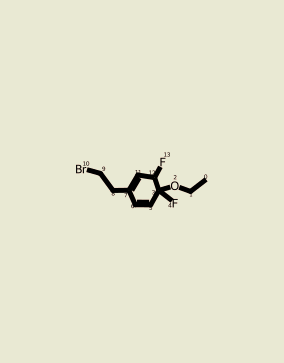 CCOC1(F)C=CC(CCBr)=CC1F